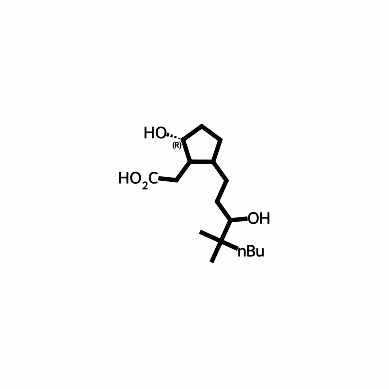 CCCCC(C)(C)C(O)CCC1CC[C@@H](O)C1CC(=O)O